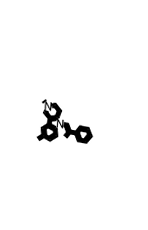 CC(=Cn1c2c(c3cc(C)ccc31)CN(C)CC2)c1ccccc1